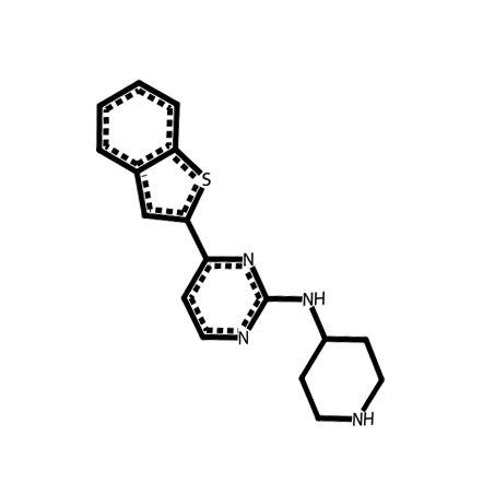 c1ccc2sc(-c3ccnc(NC4CCNCC4)n3)cc2c1